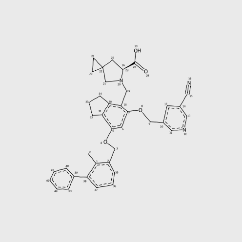 Cc1c(COc2cc(OCc3cncc(C#N)c3)c(CN3CC4(CC4)C[C@H]3C(=O)O)c3c2CCC3)cccc1-c1ccccc1